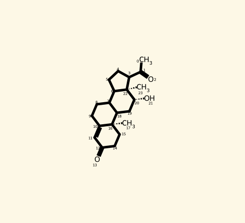 CC(=O)C1CCC2C3CCC4=CC(=O)CC[C@]4(C)C3C[C@@H](O)[C@]12C